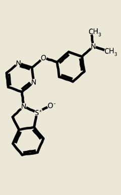 CN(C)c1cccc(Oc2nccc(N3Cc4ccccc4[S+]3[O-])n2)c1